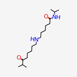 CC(C)NC(=O)CCCCCNCCCCCC(=O)C(C)C